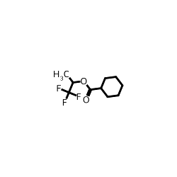 CC(OC(=O)C1CCCCC1)C(F)(F)F